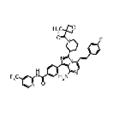 CC1(C(=O)N2CCC[C@@H](c3nc(-c4ccc(C(=O)Nc5cc(C(F)(F)F)ccn5)cc4)c4c(N)ncc(/C=C/c5ccc(F)cc5)n34)C2)COC1